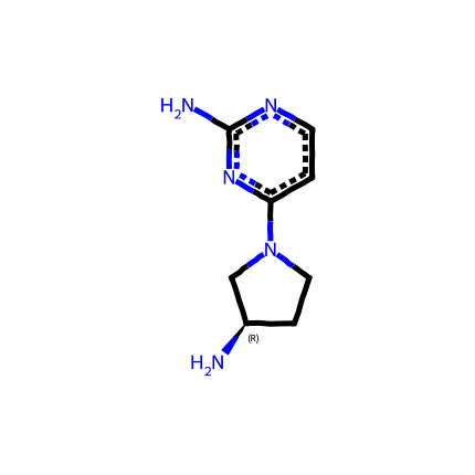 Nc1nccc(N2CC[C@@H](N)C2)n1